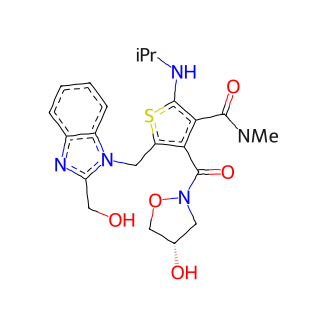 CNC(=O)c1c(NC(C)C)sc(Cn2c(CO)nc3ccccc32)c1C(=O)N1C[C@H](O)CO1